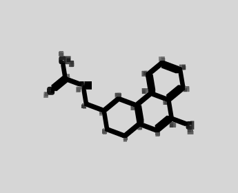 CC(=O)NCC1CCc2cc(Cl)c3ccccc3c2C1